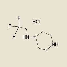 Cl.FC(F)(F)CNC1CCNCC1